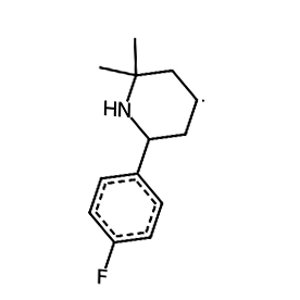 CC1(C)C[CH]CC(c2ccc(F)cc2)N1